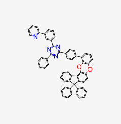 c1ccc(-c2nc(-c3ccc(-c4cccc5c4Oc4c(ccc6c4-c4ccccc4C6(c4ccccc4)c4ccccc4)O5)cc3)nc(-c3cccc(-c4ccccn4)c3)n2)cc1